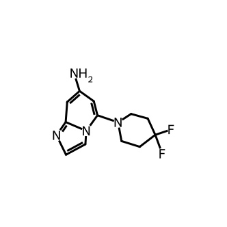 Nc1cc(N2CCC(F)(F)CC2)n2ccnc2c1